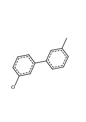 Cc1cccc(-c2cccc(Cl)c2)c1